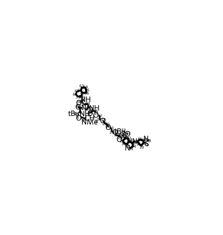 CNC(C)C(=O)NC(C(=O)N1C[C@@H](NC(=O)COCCOCCOCCOCCOc2cc3nccc(Nc4ccc5scnc5c4)c3cc2S(=O)(=O)C(C)(C)C)C[C@H]1C(=O)N[C@@H]1CCCc2ccccc21)C(C)(C)C